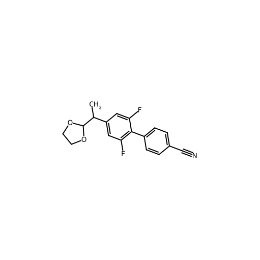 CC(c1cc(F)c(-c2ccc(C#N)cc2)c(F)c1)C1OCCO1